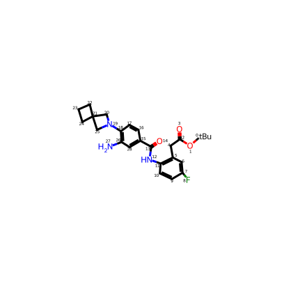 CC(C)(C)OC(=O)Cc1cc(F)ccc1NC(=O)c1ccc(N2CC3(CCC3)C2)c(N)c1